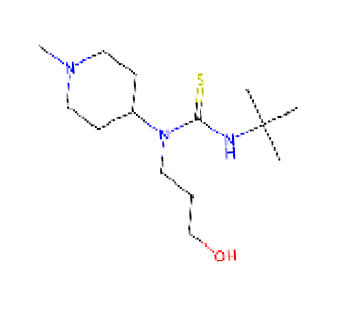 CN1CCC(N(CCCO)C(=S)NC(C)(C)C)CC1